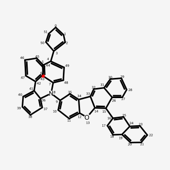 c1ccc(-c2ccc(N(c3ccc4oc5c(-c6ccc7ccccc7c6)c6ccccc6cc5c4c3)c3ccccc3-c3ccccc3)cc2)cc1